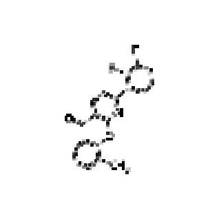 Cc1ccccc1Oc1nc(-c2cccc(F)c2F)ccc1C=O